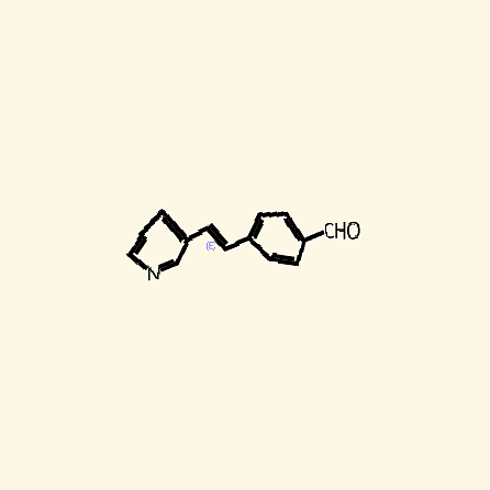 O=Cc1ccc(/C=C/c2cccnc2)cc1